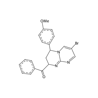 COc1ccc(C2CC(C(=O)c3ccccc3)N=C3N=CC(Br)=CN32)cc1